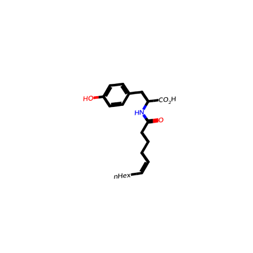 CCCCCC/C=C\CCCC(=O)NC(Cc1ccc(O)cc1)C(=O)O